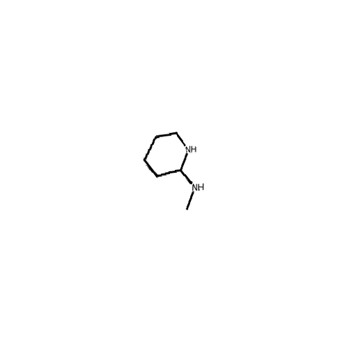 CNC1CCCCN1